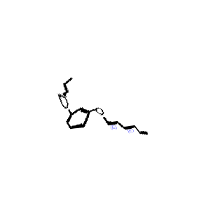 C=C/C=C/C=C/Oc1cccc(OCCC)c1